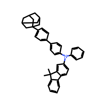 CC1(C)c2ccccc2-c2ccc(N(c3ccccc3)c3ccc(-c4ccc(C56CC7CC(CC(C7)C5)C6)cc4)cc3)cc21